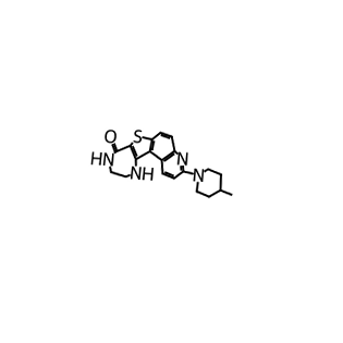 CC1CCN(c2ccc3c(ccc4sc5c(c43)NCCNC5=O)n2)CC1